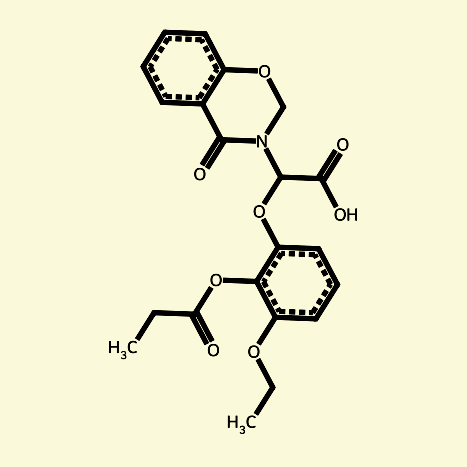 CCOc1cccc(OC(C(=O)O)N2COc3ccccc3C2=O)c1OC(=O)CC